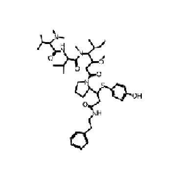 CCC(C)C(C(CC(=O)N1CCCC1C(CC(=O)NCCc1ccccc1)Sc1ccc(O)cc1)OC)N(C)C(=O)C(NC(=O)C(C(C)C)N(C)C)C(C)C